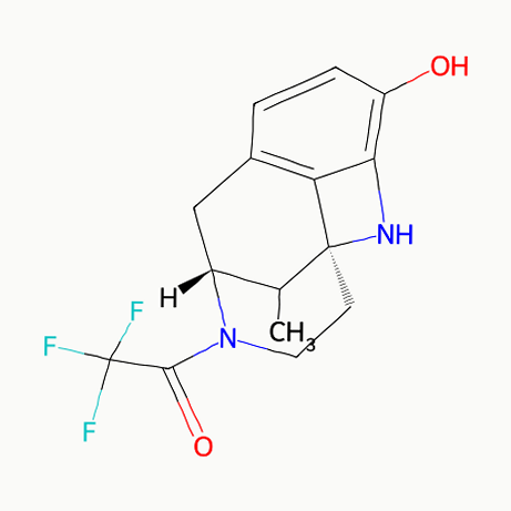 CC1[C@H]2Cc3ccc(O)c4c3[C@@]1(CCN2C(=O)C(F)(F)F)N4